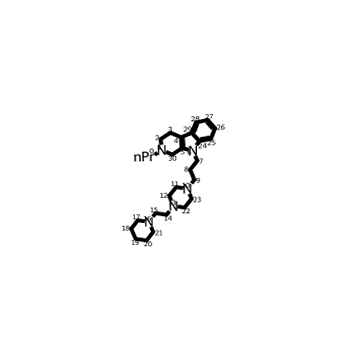 CCCN1CCc2c(n(CCCN3CCN(CCN4CCCCC4)CC3)c3ccccc23)C1